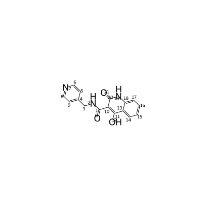 O=C(NCc1ccncc1)c1c(O)c2ccccc2[nH]c1=O